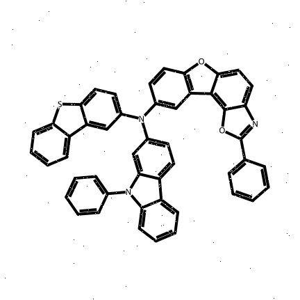 c1ccc(-c2nc3ccc4oc5ccc(N(c6ccc7sc8ccccc8c7c6)c6ccc7c8ccccc8n(-c8ccccc8)c7c6)cc5c4c3o2)cc1